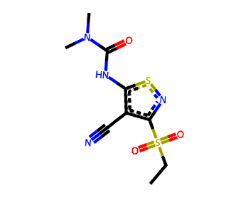 CCS(=O)(=O)c1nsc(NC(=O)N(C)C)c1C#N